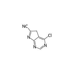 N#CC1=Nc2ncnc(Cl)c2C1